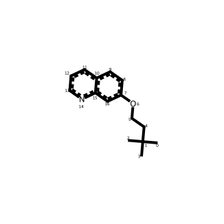 CC(C)(C)CCOc1ccc2cccnc2c1